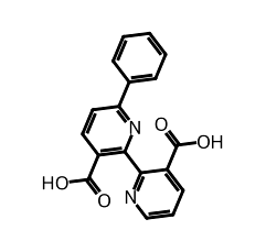 O=C(O)c1cccnc1-c1nc(-c2ccccc2)ccc1C(=O)O